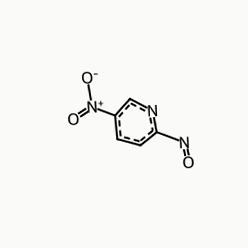 O=Nc1ccc([N+](=O)[O-])cn1